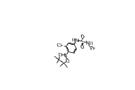 CC(C)NS(=O)(=O)Nc1ccc(B2OC(C)(C)C(C)(C)O2)c(Cl)c1